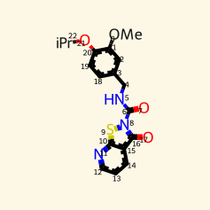 COc1cc(CNC(=O)n2sc3ncccc3c2=O)ccc1OC(C)C